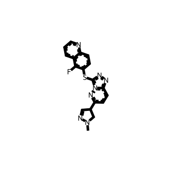 CN1CC(c2ccc3nnc(Sc4ccc5ncccc5c4F)n3n2)C=N1